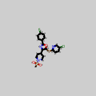 CS(=O)(=O)[n+]1ccc(-c2nc(-c3ccc(F)cc3)oc2Sc2ccc(Cl)cn2)cc1